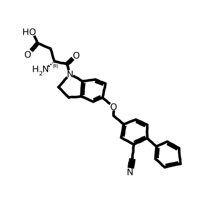 N#Cc1cc(COc2ccc3c(c2)CCN3C(=O)[C@H](N)CC(=O)O)ccc1-c1ccccc1